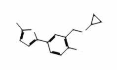 Clc1ccc(-c2ccc(Cl)c(CNC3CC3)c2)s1